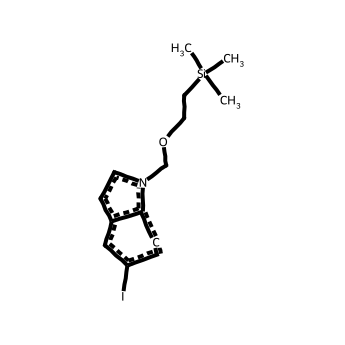 C[Si](C)(C)CCOCn1ccc2cc(I)ccc21